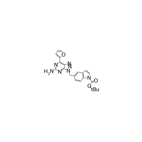 CC(C)(C)OC(=O)n1ccc2cc(Cn3nnc4c(-c5ccco5)nc(N)nc43)ccc21